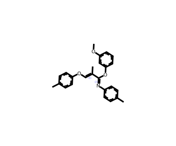 COc1cccc(OC(=N\c2ccc(C)cc2)/C(C)=C/Oc2ccc(C)cc2)c1